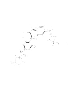 Cc1c(F)c(-c2c(F)cc(S(=O)(=O)N3CCC(F)C3)cc2F)nc2cc(C(=O)N3CC(C)(C(=O)O)C3)ccc12